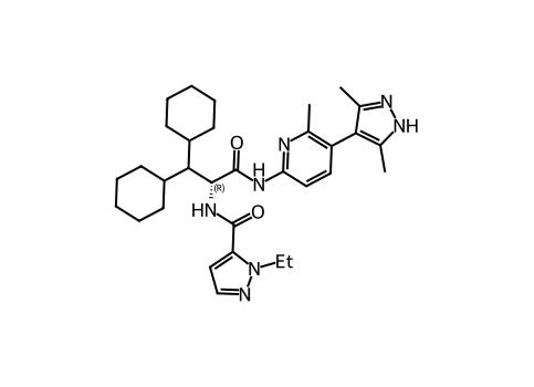 CCn1nccc1C(=O)N[C@@H](C(=O)Nc1ccc(-c2c(C)n[nH]c2C)c(C)n1)C(C1CCCCC1)C1CCCCC1